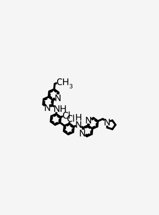 CCc1cnc2c(Nc3cccc(-c4cccc(Nc5nccc6cc(CN7CCCC7)cnc56)c4Cl)c3Cl)nccc2c1